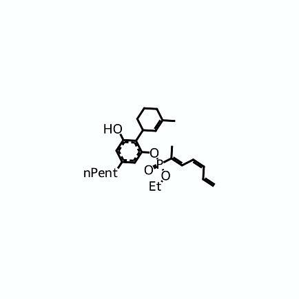 C=C/C=C\C=C(/C)P(=O)(OCC)Oc1cc(CCCCC)cc(O)c1C1C=C(C)CCC1